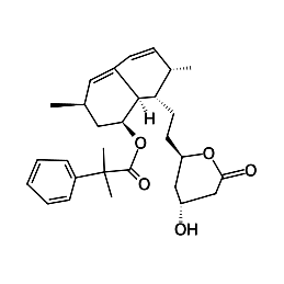 C[C@H]1C=C2C=C[C@H](C)[C@H](CC[C@@H]3C[C@@H](O)CC(=O)O3)[C@H]2[C@@H](OC(=O)C(C)(C)c2ccccc2)C1